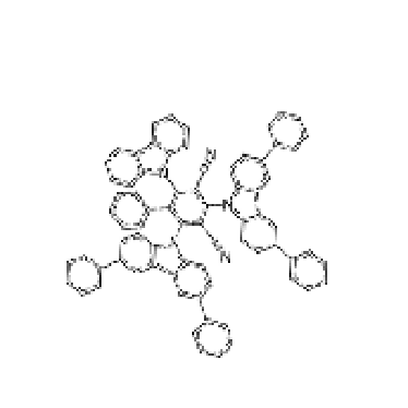 N#Cc1c(-n2c3ccc(-c4ccccc4)cc3c3cc(-c4ccccc4)ccc32)c(C#N)c(-n2c3ccc(-c4ccccc4)cc3c3cc(-c4ccccc4)ccc32)c(-c2ccccc2)c1-n1c2ccccc2c2ccccc21